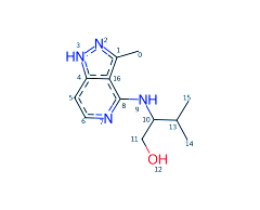 Cc1n[nH]c2ccnc(NC(CO)C(C)C)c12